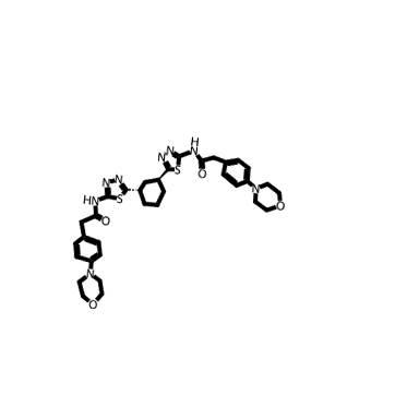 O=C(Cc1ccc(N2CCOCC2)cc1)Nc1nnc([C@H]2CCC[C@H](c3nnc(NC(=O)Cc4ccc(N5CCOCC5)cc4)s3)C2)s1